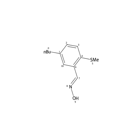 CCCCc1ccc(SC)c(C=NO)c1